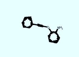 Nc1ccccc1OC#Cc1ccccc1